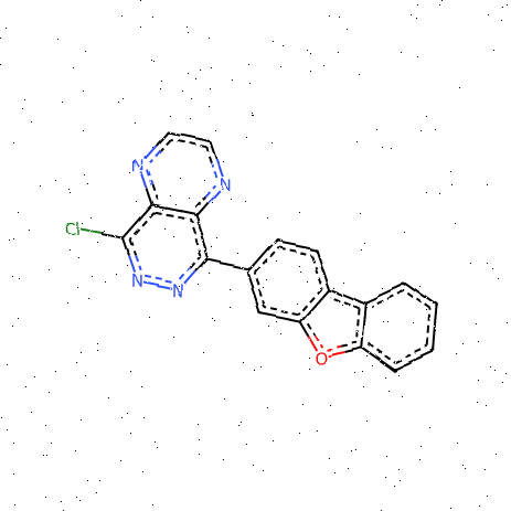 Clc1nnc(-c2ccc3c(c2)oc2ccccc23)c2nccnc12